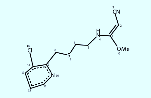 CO/C(=C/C#N)NCCSCc1ncccc1Cl